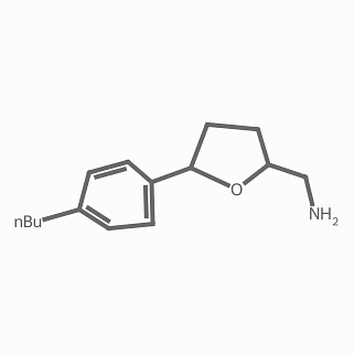 CCCCc1ccc(C2CCC(CN)O2)cc1